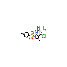 Cc1ccc(S(=O)(=O)n2cc(C)c3c(Cl)nc(N)nc32)cc1